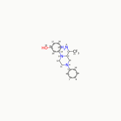 NC(C1CN(c2ccccc2)CCN1c1cccc(O)c1)C(F)(F)F